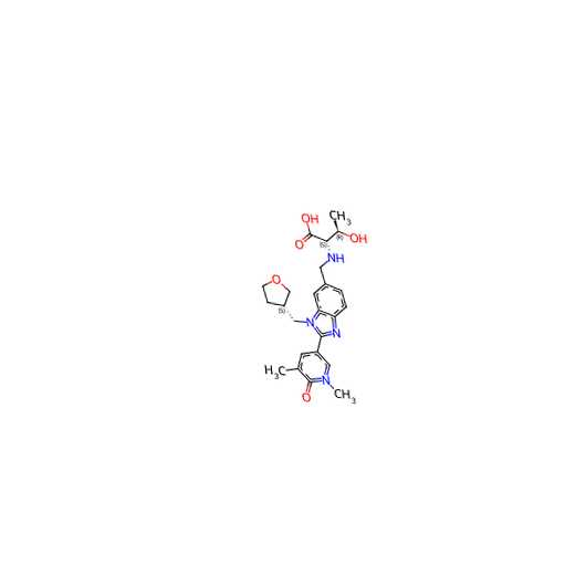 Cc1cc(-c2nc3ccc(CN[C@H](C(=O)O)[C@@H](C)O)cc3n2C[C@@H]2CCOC2)cn(C)c1=O